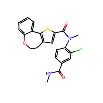 CNC(=O)c1ccc(N(C)C(=O)c2cc3c(s2)-c2ccccc2OCC3)c(Cl)c1